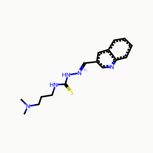 CN(C)CCCNC(=S)N/N=C/c1cnc2ccccc2c1